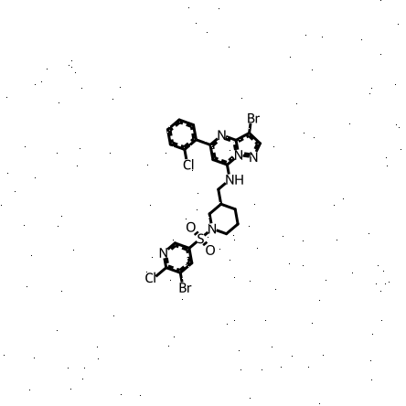 O=S(=O)(c1cnc(Cl)c(Br)c1)N1CCCC(CNc2cc(-c3ccccc3Cl)nc3c(Br)cnn23)C1